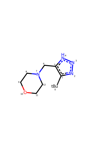 CC(C)(C)c1nn[nH]c1CN1CCOCC1